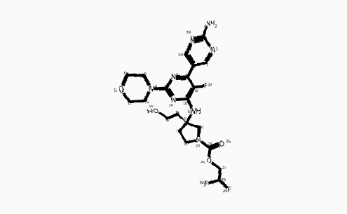 Nc1ncc(-c2nc(N3CCOCC3)nc(N[C@@]3(CCO)CCN(C(=O)OCC(F)F)C3)c2F)cn1